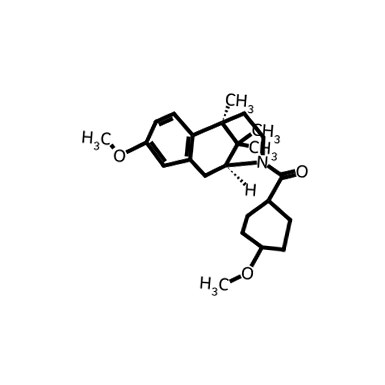 COc1ccc2c(c1)C[C@@H]1N(C(=O)C3CCC(OC)CC3)CC[C@@]2(C)C1(C)C